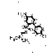 CN(C)/C=N/S(=O)(=O)c1cc(N)ccc1-c1ccc(Cl)nc1